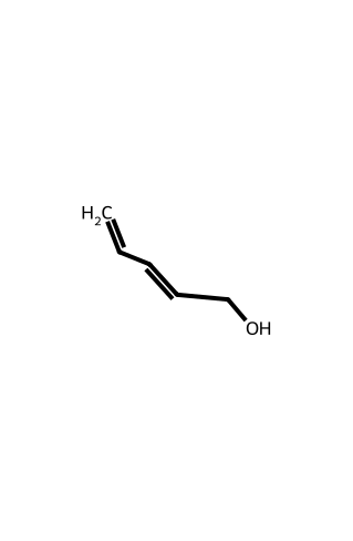 C=C/C=C/CO